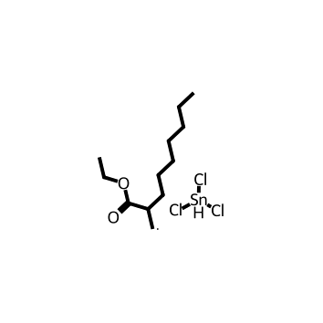 [CH2]C(CCCCCCC)C(=O)OCC.[Cl][SnH]([Cl])[Cl]